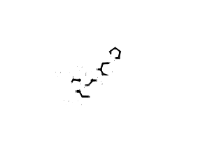 CCC(C)C(C(CC(=O)N1CCCC1C(=O)O)OC)N(C)C(=O)[C@H](C(C)C)N(C(=O)[C@@H](NC)C(C)C)C(=O)[C@@H](NC)C(C)C